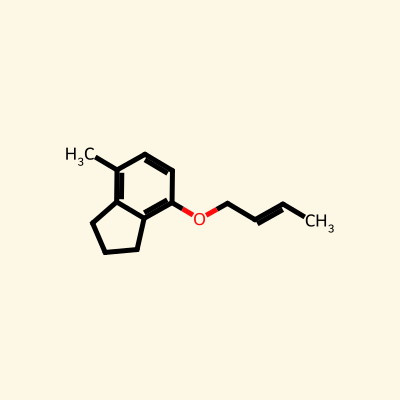 C/C=C/COc1ccc(C)c2c1CCC2